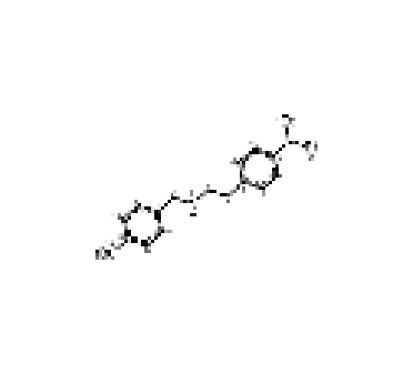 CCN(CC)c1ccc(CCNCc2ccc(C(C)(C)C)cc2)cc1